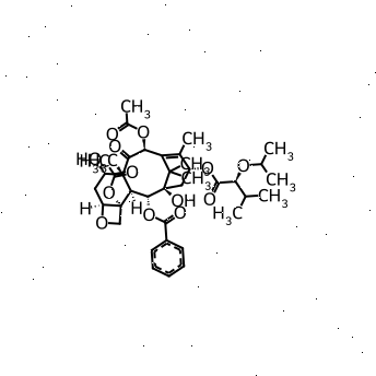 CC(=O)O[C@@H]1C(=O)[C@@]2(C)[C@H](O)C[C@@H]3OC[C@]3(OC(C)=O)[C@@H]2[C@@H](OC(=O)c2ccccc2)[C@@]2(O)C[C@@H](OC(=O)[C@@H](OC(C)C)C(C)C)C(C)=C1C2(C)C